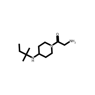 CCC(C)(C)NC1CCN(C(=O)CN)CC1